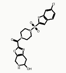 O=C(c1nc2c(o1)CNC(O)C2)N1CCN(S(=O)(=O)c2cc3ccc(Cl)cc3s2)CC1